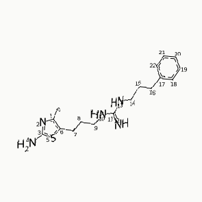 Cc1nc(N)sc1CCCNC(=N)NCCCc1ccccc1